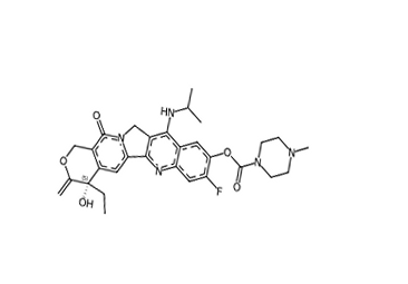 C=C1OCc2c(cc3n(c2=O)Cc2c-3nc3cc(F)c(OC(=O)N4CCN(C)CC4)cc3c2NC(C)C)[C@@]1(O)CC